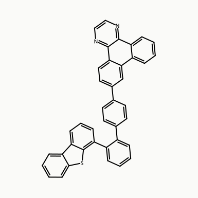 c1ccc(-c2cccc3c2sc2ccccc23)c(-c2ccc(-c3ccc4c(c3)c3ccccc3c3nccnc43)cc2)c1